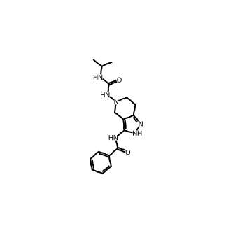 CC(C)NC(=O)NN1CCc2n[nH]c(NC(=O)c3ccccc3)c2C1